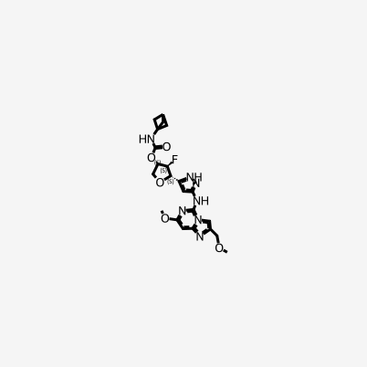 COCc1cn2c(Nc3cc([C@@H]4OC[C@H](OC(=O)NC56CC(C5)C6)[C@H]4F)[nH]n3)nc(OC)cc2n1